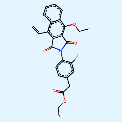 C=Cc1c2c(c(OCC)c3ccccc13)C(=O)N(c1ccc(CC(=O)OCC)cc1F)C2=O